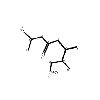 CC(C)C(C)CC(=O)CC(C)C(C)CC=O